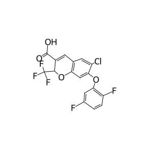 O=C(O)C1=Cc2cc(Cl)c(Oc3cc(F)ccc3F)cc2OC1C(F)(F)F